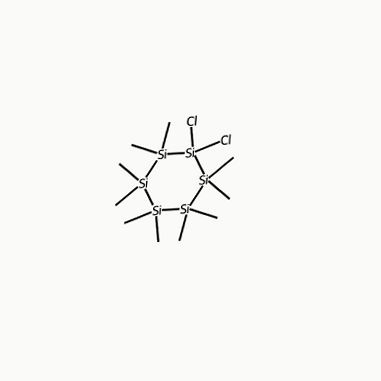 C[Si]1(C)[Si](C)(C)[Si](C)(C)[Si](Cl)(Cl)[Si](C)(C)[Si]1(C)C